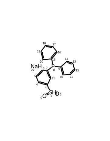 O=[SH](=O)c1cccc(P(c2ccccc2)c2ccccc2)c1.[NaH]